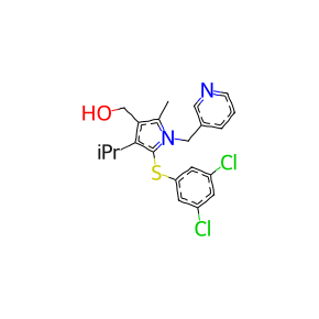 Cc1c(CO)c(C(C)C)c(Sc2cc(Cl)cc(Cl)c2)n1Cc1cccnc1